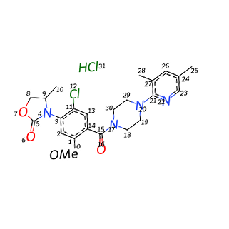 COc1cc(N2C(=O)OCC2C)c(Cl)cc1C(=O)N1CCN(c2ncc(C)cc2C)CC1.Cl